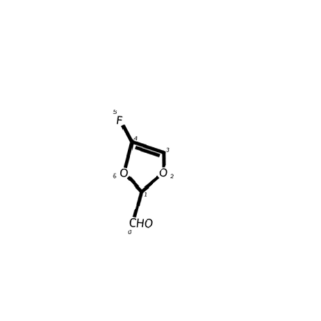 O=CC1OC=C(F)O1